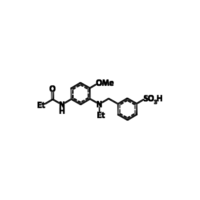 CCC(=O)Nc1ccc(OC)c(N(CC)Cc2cccc(S(=O)(=O)O)c2)c1